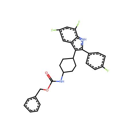 O=C(NC1CCC(c2c(-c3ccc(F)cc3)[nH]c3c(F)cc(F)cc23)CC1)OCc1ccccc1